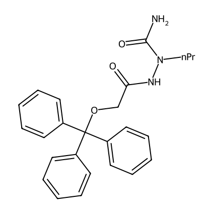 CCCN(NC(=O)COC(c1ccccc1)(c1ccccc1)c1ccccc1)C(N)=O